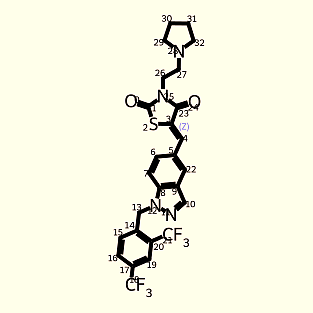 O=C1S/C(=C\c2ccc3c(cnn3Cc3ccc(C(F)(F)F)cc3C(F)(F)F)c2)C(=O)N1CCN1CCCC1